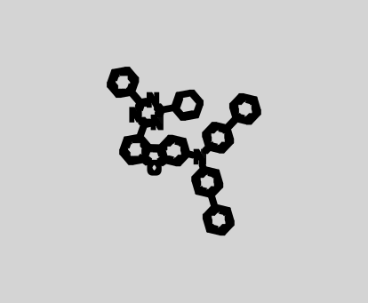 C1=CC(c2nc(-c3ccccc3)nc(-c3cccc4oc5cc(N(c6ccc(-c7ccccc7)cc6)c6ccc(-c7ccccc7)cc6)ccc5c34)n2)=CCC1